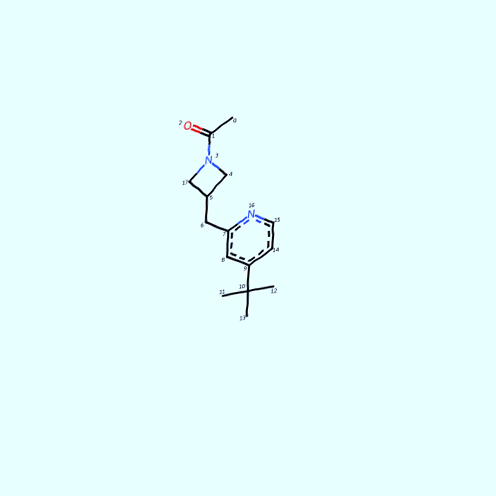 CC(=O)N1CC(Cc2cc(C(C)(C)C)ccn2)C1